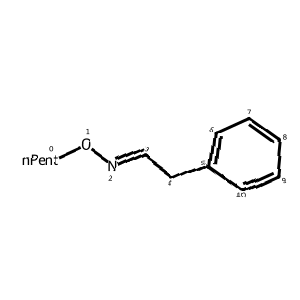 CCCCCON=CCc1ccccc1